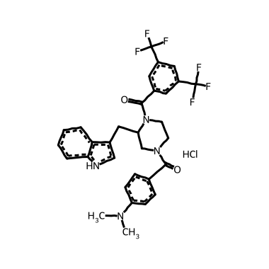 CN(C)c1ccc(C(=O)N2CCN(C(=O)c3cc(C(F)(F)F)cc(C(F)(F)F)c3)C(Cc3c[nH]c4ccccc34)C2)cc1.Cl